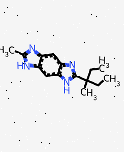 CCC(C)(CC)c1nc2cc3nc(C)[nH]c3cc2[nH]1